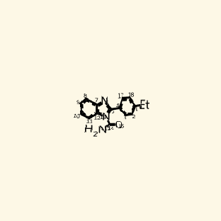 CCc1ccc(-c2nc3ccccc3n2C(N)=O)cc1